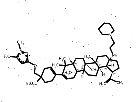 C=C(C)[C@@H]1CC[C@]2(NCCN3CCCCC3)CC[C@]3(C)[C@H](CC[C@@H]4[C@@]5(C)CC=C(C6=CCC(COc7cc(C(F)(F)F)n(C)n7)(C(=O)OCC)CC6)C(C)(C)[C@@H]5CC[C@]43C)[C@@H]12